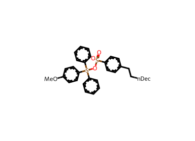 CCCCCCCCCCCCc1ccc(S(=O)(=O)OS(c2ccccc2)(c2ccccc2)c2ccc(OC)cc2)cc1